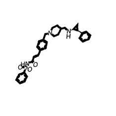 O=C(/C=C/c1ccc(CN2CCC(CN[C@@H]3C[C@H]3c3ccccc3)CC2)cc1)NS(=O)(=O)c1ccccc1